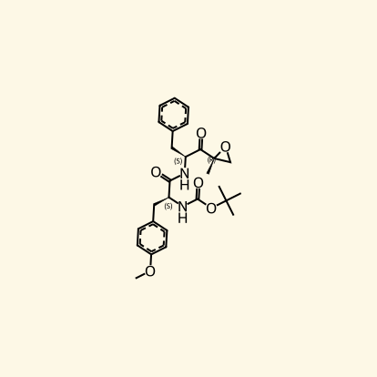 COc1ccc(C[C@H](NC(=O)OC(C)(C)C)C(=O)N[C@@H](Cc2ccccc2)C(=O)[C@@]2(C)CO2)cc1